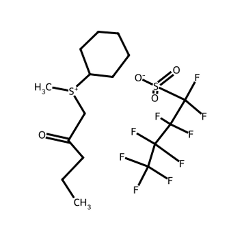 CCCC(=O)C[S+](C)C1CCCCC1.O=S(=O)([O-])C(F)(F)C(F)(F)C(F)(F)C(F)(F)F